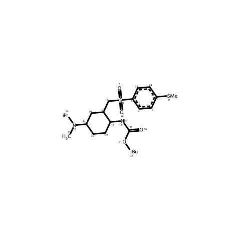 CSc1ccc(S(=O)(=O)CC2CC(N(C)C(C)C)CCC2NC(=O)OC(C)(C)C)cc1